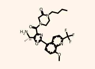 CCCCN1CCN(C(=O)c2nc(-c3ccc(OC)c4nc(C(F)(F)F)ccc34)oc2[C@H](C)N)CC1=O